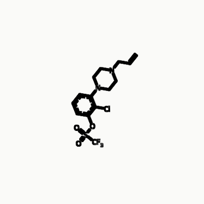 C=CCN1CCN(c2cccc(OS(=O)(=O)C(F)(F)F)c2Cl)CC1